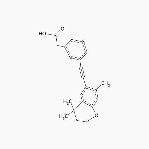 Cc1cc2c(cc1C#Cc1cncc(CC(=O)O)n1)C(C)(C)CCO2